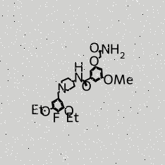 CCOc1cc(CN2CCC(NC(=O)c3cc(OC)cc(OCC(N)=O)c3)CC2)cc(OCC)c1F